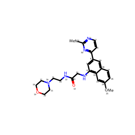 CNc1nccc(-c2cc(NCC(=O)NCCN3CCOCC3)c3cc(OC)ccc3c2)n1